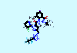 Cc1cc(I)cc(C(=O)NC(C)(C)C)c1NC(=O)c1cc(Cn2nnc(C(F)(F)C(F)(F)F)n2)nn1-c1ncccc1Cl